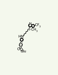 Cc1cc(C(F)(F)F)cc2nccc(SCCCCCCNc3ccc(N4CCN(C(=O)OC(C)(C)C)CC4)cc3)c12